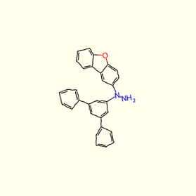 NN(c1cc(-c2ccccc2)cc(-c2ccccc2)c1)c1ccc2oc3ccccc3c2c1